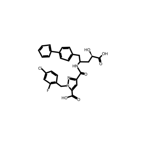 O=C(NC(Cc1ccc(-c2ccccc2)cc1)C[C@@H](O)C(=O)O)c1cc(C(=O)O)n(Cc2ccc(Cl)cc2F)n1